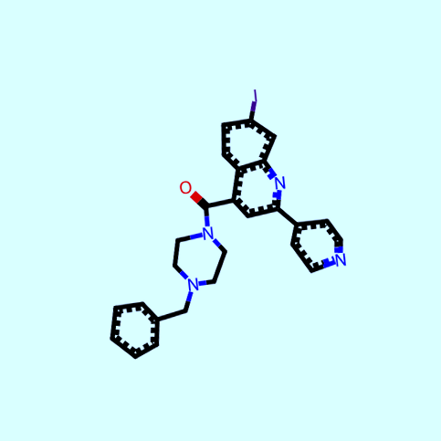 O=C(c1cc(-c2ccncc2)nc2cc(I)ccc12)N1CCN(Cc2ccccc2)CC1